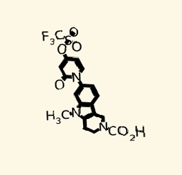 Cn1c2c(c3ccc(-n4ccc(OS(=O)(=O)C(F)(F)F)cc4=O)cc31)CN(C(=O)O)CC2